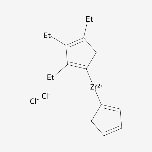 CCC1=C(CC)C(CC)=[C]([Zr+2][C]2=CC=CC2)C1.[Cl-].[Cl-]